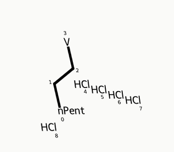 CCCCCC[CH2][V].Cl.Cl.Cl.Cl.Cl